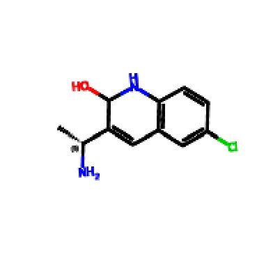 C[C@@H](N)C1=Cc2cc(Cl)ccc2NC1O